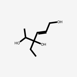 CCC(O)(C=CCO)C(C)O